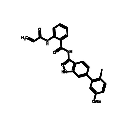 C=CC(=O)Nc1ccccc1C(=O)Nc1n[nH]c2cc(-c3cc(OC)ccc3F)ccc12